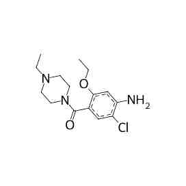 CCOc1cc(N)c(Cl)cc1C(=O)N1CCN(CC)CC1